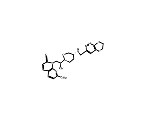 COc1ccc2ccc(=O)n(C[C@H](O)[C@@H]3CC[C@@H](NCc4cc5c(nn4)OCCO5)CO3)c2n1